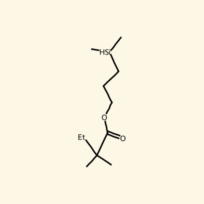 CCC(C)(C)C(=O)OCCC[SiH](C)C